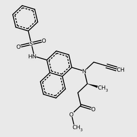 C#CCN(c1ccc(NS(=O)(=O)c2ccccc2)c2ccccc12)[C@@H](C)CC(=O)OC